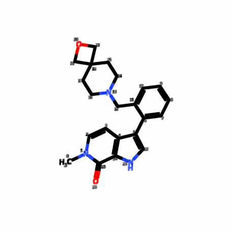 Cn1ccc2c(-c3ccccc3CN3CCC4(CC3)COC4)c[nH]c2c1=O